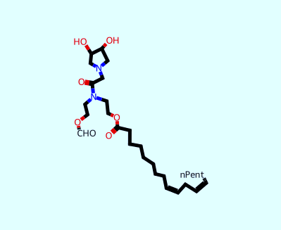 CCCCC/C=C\C/C=C\CCCCCCCC(=O)OCCN(CCOC=O)C(=O)CN1CC(O)C(O)C1